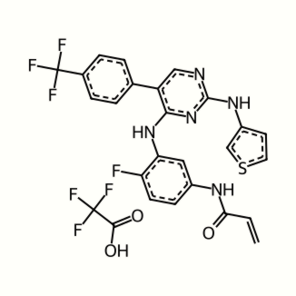 C=CC(=O)Nc1ccc(F)c(Nc2nc(Nc3ccsc3)ncc2-c2ccc(C(F)(F)F)cc2)c1.O=C(O)C(F)(F)F